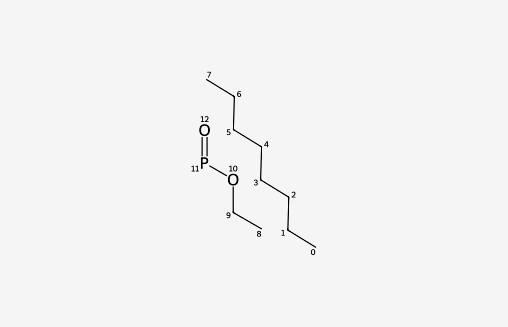 CCCCCCCC.CCOP=O